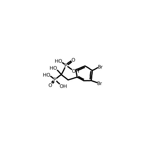 O=P(O)(O)C(O)(Cc1ccc(Br)c(Br)c1)P(=O)(O)O